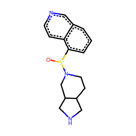 [O-][S+](c1cccc2cnccc12)N1CCC2CNCC2C1